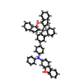 c1ccc(N(c2ccc(-c3ccc4c(c3)-c3ccccc3C43c4ccc5ccccc5c4Oc4c3ccc3ccccc43)cc2)c2ccc3c(c2)oc2ccccc23)cc1